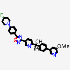 COc1cncc(-c2ccc(C(C)(c3ccc(-c4noc(-c5ccc(N6CCC(F)CC6)cc5)n4)cn3)C(C)C)cc2)c1